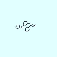 N#CC(Cc1cccc(Oc2ccccc2)c1)c1ccccc1